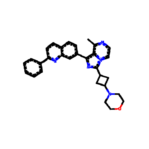 Cc1nccn2c(C3CC(N4CCOCC4)C3)nc(-c3ccc4ccc(-c5ccccc5)nc4c3)c12